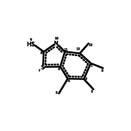 Cc1c(C)c(C)c2sc(S)nc2c1C